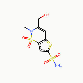 CN1C(CO)=Cc2sc(S(N)(=O)=O)cc2S1(=O)=O